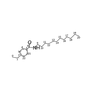 C[CH]c1ccc(C(=O)NCCCCCCCCCCCC)cc1